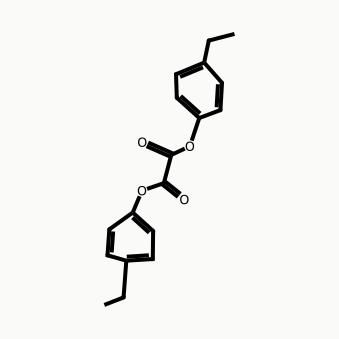 CCc1ccc(OC(=O)C(=O)Oc2ccc(CC)cc2)cc1